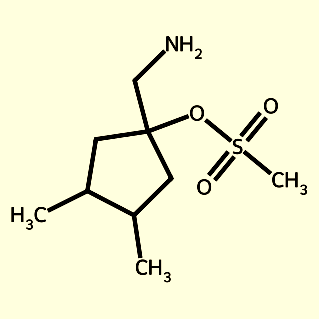 CC1CC(CN)(OS(C)(=O)=O)CC1C